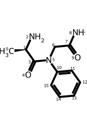 C[C@@H](N)C(=O)N(CC([NH])=O)c1ccccc1